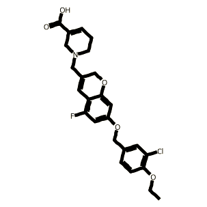 CCOc1ccc(COc2cc(F)c3c(c2)OCC(CN2CCC=C(C(=O)O)C2)=C3)cc1Cl